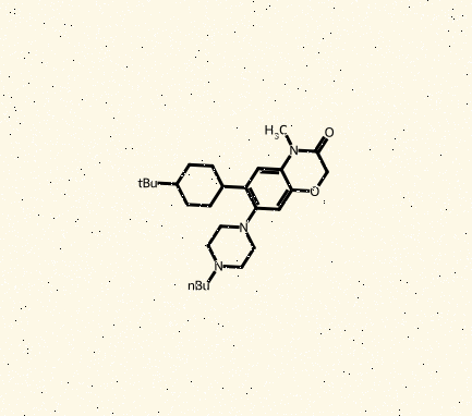 CCCCN1CCN(c2cc3c(cc2C2CCC(C(C)(C)C)CC2)N(C)C(=O)CO3)CC1